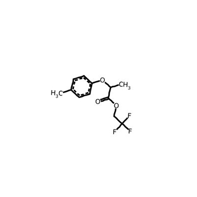 Cc1ccc(OC(C)C(=O)OCC(F)(F)F)cc1